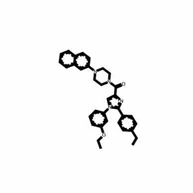 CCOc1cccc(-n2cc(C(=O)N3CCN(c4ccc5ccccc5c4)CC3)nc2-c2ccc(CC)cc2)c1